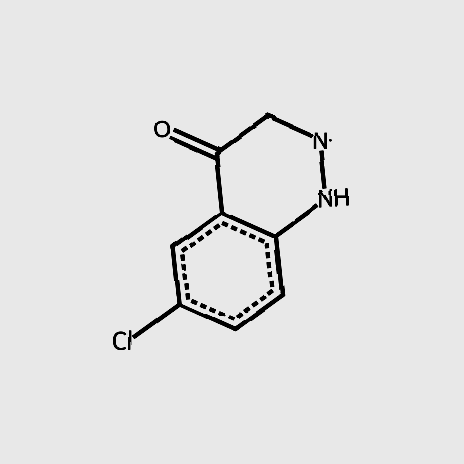 O=C1C[N]Nc2ccc(Cl)cc21